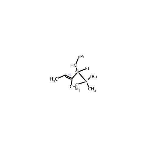 C/C=C(\C)[Si](CC)(NCCC)[Si](C)(C)C(C)(C)C